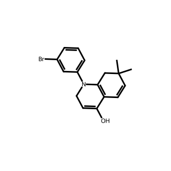 CC1(C)C=CC2=C(C1)N(c1cccc(Br)c1)CC=C2O